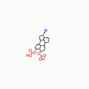 N#Cc1ccc2c3ccc(OC(=O)O)c4c(OC(=O)O)ccc(c5cccc1c52)c43